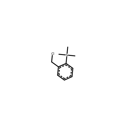 C[Si](C)(C)c1ccccc1CCl